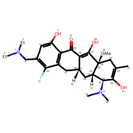 CCN(CC)Cc1cc(O)c2c(c1F)C[C@H]1C[C@H]3[C@H](N(C)C)C(O)=C(C)C[C@@]3(OC)C(O)=C1C2=O